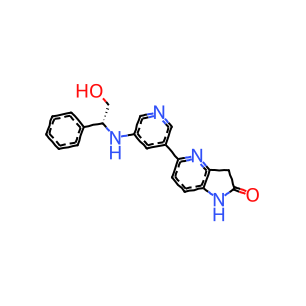 O=C1Cc2nc(-c3cncc(N[C@@H](CO)c4ccccc4)c3)ccc2N1